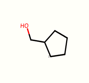 OCC1[C]CCC1